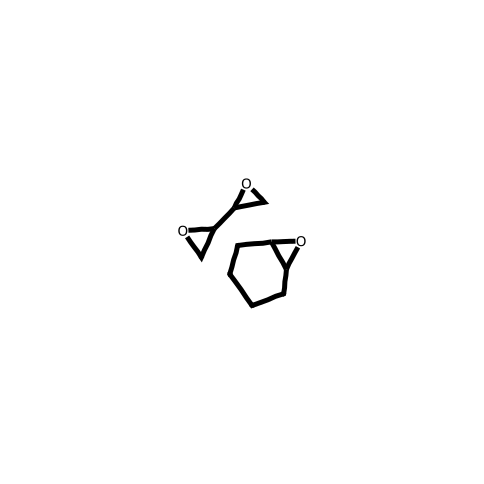 C1CCC2OC2C1.C1OC1C1CO1